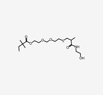 CCC(C)(C)C(=O)OCCOCOCCSCC(C)C(=O)NCCO